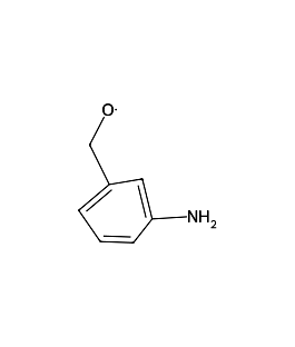 Nc1cccc(C[O])c1